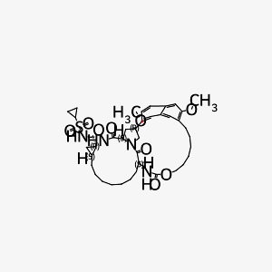 COc1cc2ccc3cc2cc1CCCCCCOC(=O)N[C@H]1CCCCCCC[C@H]2C[C@@]2(C(=O)NS(=O)(=O)C2CC2)NC(=O)[C@@H]2C[C@]3(OC)CN2C1=O